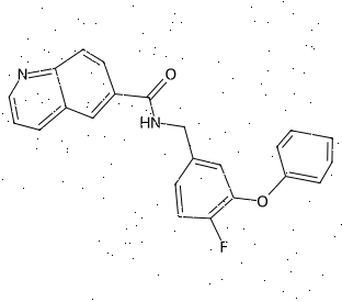 O=C(NCc1ccc(F)c(Oc2ccccc2)c1)c1ccc2ncccc2c1